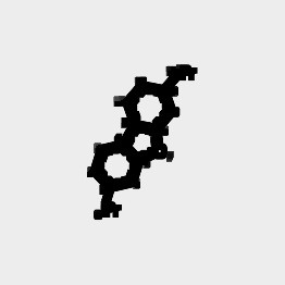 CC(C)c1ccc2c(c1)oc1cc(C(C)C)ccc12